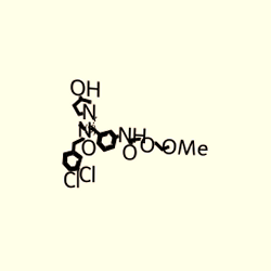 COCCOCC(=O)Nc1cccc([C@@H](CN2CCC(O)C2)N(C)C(=O)Cc2ccc(Cl)c(Cl)c2)c1